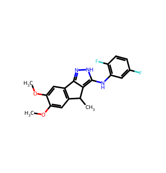 COc1cc2c(cc1OC)C(C)c1c-2n[nH]c1Nc1cc(F)ccc1F